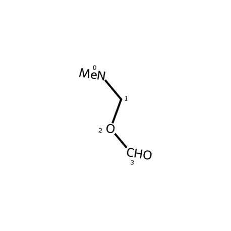 CNCOC=O